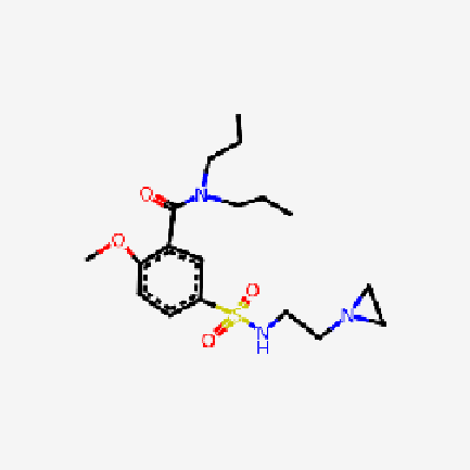 CCCN(CCC)C(=O)c1cc(S(=O)(=O)NCCN2CC2)ccc1OC